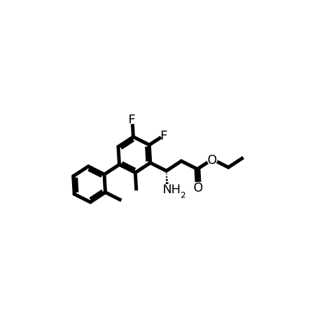 CCOC(=O)C[C@H](N)c1c(C)c(-c2ccccc2C)cc(F)c1F